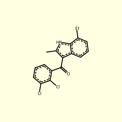 CCc1cccc2c(C(=O)c3cccc(Cl)c3Cl)c(C)[nH]c12